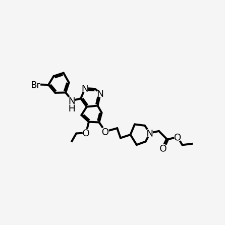 CCOC(=O)CN1CCC(CCOc2cc3ncnc(Nc4cccc(Br)c4)c3cc2OCC)CC1